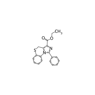 CCOC(=O)c1nc(-c2ccccc2)n2c1CSc1ccccc1-2